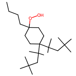 CCCCC1(OO)CCC(C(C)(C)CC(C)(C)C)(C(C)(C)CC(C)(C)C)CC1